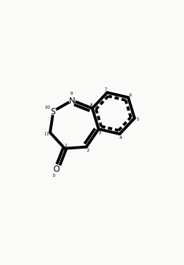 O=C1C=c2ccccc2=NSC1